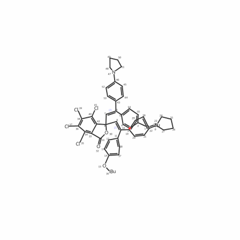 CCC(C)Oc1ccc(/C(=C\C2(/C=C(\c3ccc(OC(C)CC)cc3)c3ccc(N4CCCC4)cc3)OC(=O)c3c(Cl)c(Cl)c(Cl)c(Cl)c32)c2ccc(N3CCCC3)cc2)cc1